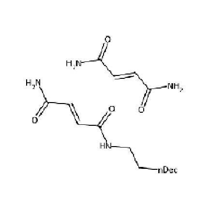 CCCCCCCCCCCCNC(=O)C=CC(N)=O.NC(=O)C=CC(N)=O